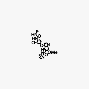 COc1cc2nccc(Oc3ccc(NC(=O)NC4CC4)c(Cl)c3)c2cc1C(=O)Nc1nccs1